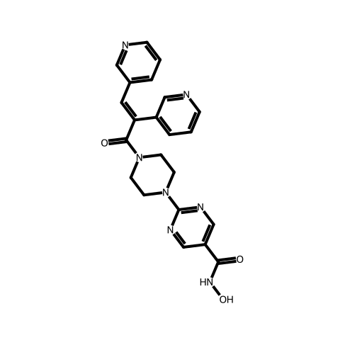 O=C(NO)c1cnc(N2CCN(C(=O)C(=Cc3cccnc3)c3cccnc3)CC2)nc1